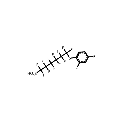 O=S(=O)(O)C(F)(F)C(F)(F)C(F)(F)C(F)(F)C(F)(F)C(F)(F)Sc1ccc(F)cc1F